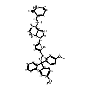 COc1ccc(C(OCc2[c]cc(N3CNC4=C(NCc5ccc[nH]c5=O)N=CNC43)o2)(c2ccccc2)c2ccc(OC)cc2)cc1